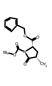 C[C@H]1C[C@@H](C(=O)OCc2ccccc2)N(C(=O)OC(C)(C)C)C1=O